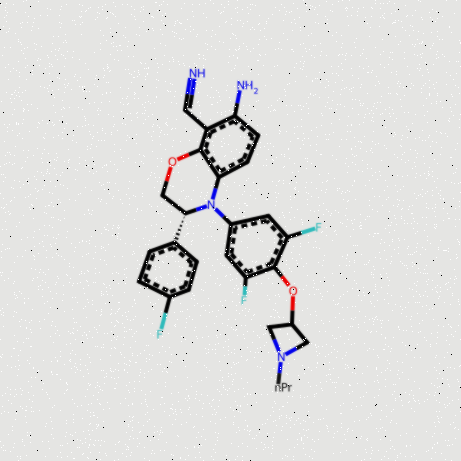 CCCN1CC(Oc2c(F)cc(N3c4ccc(N)c(C=N)c4OC[C@H]3c3ccc(F)cc3)cc2F)C1